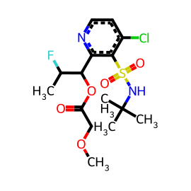 COCC(=O)OC(c1nccc(Cl)c1S(=O)(=O)NC(C)(C)C)C(C)F